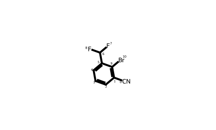 N#Cc1cccc(C(F)F)c1Br